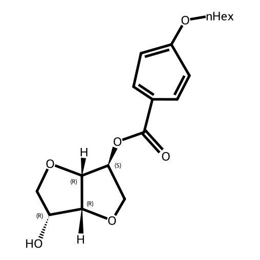 CCCCCCOc1ccc(C(=O)O[C@H]2CO[C@H]3[C@@H]2OC[C@H]3O)cc1